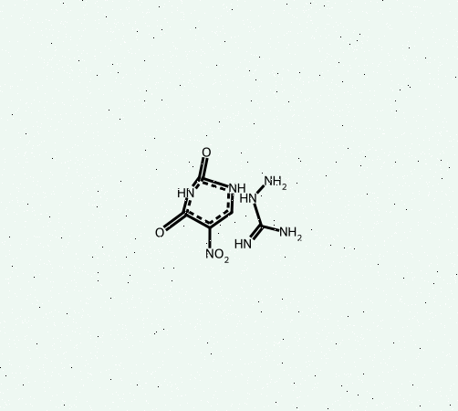 N=C(N)NN.O=c1[nH]cc([N+](=O)[O-])c(=O)[nH]1